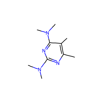 Cc1nc(N(C)C)nc(N(C)C)c1C